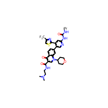 CC(C)NC(=O)Nc1cc(-c2nc(C(F)(F)F)cs2)c(-c2ccc3c(=O)c(C(=O)NCCN(C)C)cn(C4CCOCC4)c3c2)cn1